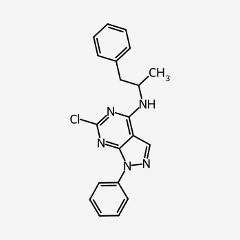 CC(Cc1ccccc1)Nc1nc(Cl)nc2c1cnn2-c1ccccc1